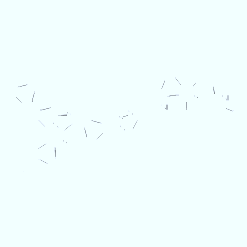 O=C1CCC(N2C(=O)c3cccc(NCCc4cn(Cc5ccc(-c6nc7cc(-c8ccccc8)ccn7c6Nc6ccc(C(=O)O)cc6)cc5)nn4)c3C2=O)C(=O)N1